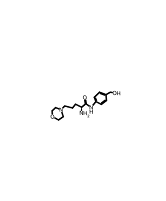 N[C@@H](CCCN1CCOCC1)C(=O)Nc1ccc(CO)cc1